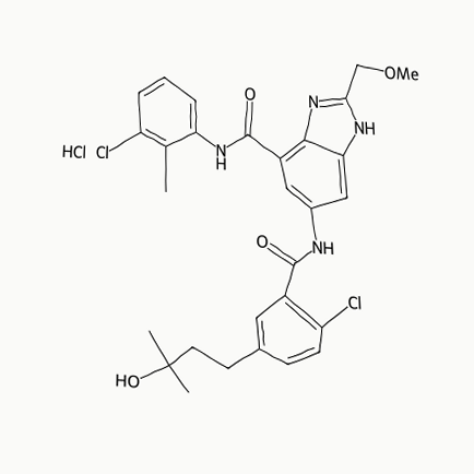 COCc1nc2c(C(=O)Nc3cccc(Cl)c3C)cc(NC(=O)c3cc(CCC(C)(C)O)ccc3Cl)cc2[nH]1.Cl